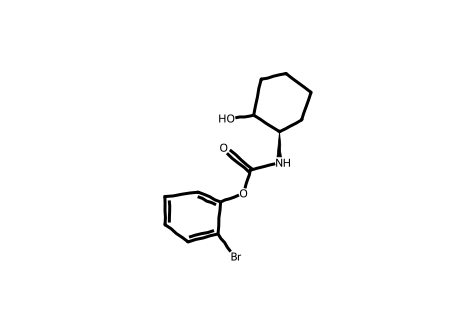 O=C(N[C@@H]1CCCCC1O)Oc1ccccc1Br